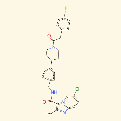 CCc1nc2ccc(Cl)cn2c1C(=O)NCc1ccc(C2CCN(C(=O)Cc3ccc(F)cc3)CC2)cc1